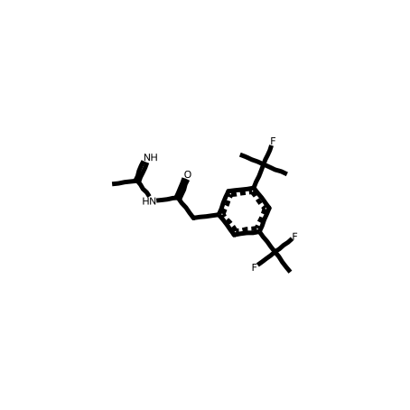 CC(=N)NC(=O)Cc1cc(C(C)(C)F)cc(C(C)(F)F)c1